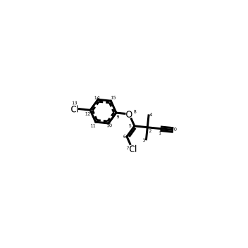 C#CC(C)(C)C(=CCl)Oc1ccc(Cl)cc1